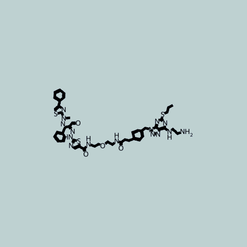 CCCSc1nc(NCCN)c2nnn(Cc3ccc(CCC(=O)NCCOCCNC(=O)c4cnc(N/N=C(C=O)\C(=N/N(C)c5nc(-c6ccccc6)cs5)c5ccccc5)s4)cc3)c2n1